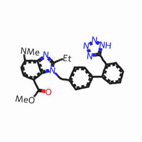 CCc1nc2c(NC)ccc(C(=O)OC)c2n1Cc1ccc(-c2ccccc2-c2nnn[nH]2)cc1